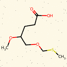 COC(CCC(=O)O)COCSC